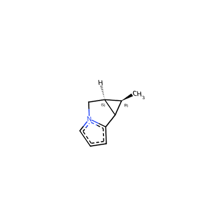 C[C@H]1C2c3cccn3C[C@H]21